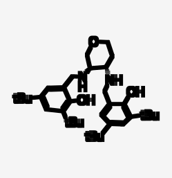 CC(C)(C)c1cc(CN[C@H]2CCOC[C@@H]2NCc2cc(C(C)(C)C)cc(C(C)(C)C)c2O)c(O)c(C(C)(C)C)c1